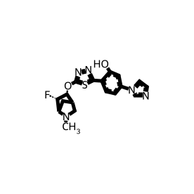 CN1CC2CC1[C@H](F)[C@@H]2Oc1nnc(-c2ccc(-n3ccnc3)cc2O)s1